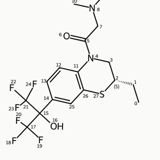 CC[C@H]1CN(C(=O)CN(C)C)c2ccc(C(O)(C(F)(F)F)C(F)(F)F)cc2S1